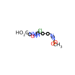 CS(=O)(=O)CCN1CCN(Cc2ccc(-c3ccc(-c4nc5nc(O[C@H]6CC[C@H](C(=O)O)CC6)[nH]c5cc4Cl)cc3)cc2)CC1